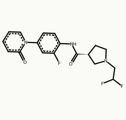 O=C(Nc1ccc(-n2ccccc2=O)cc1F)[C@@H]1CCN(CC(F)F)C1